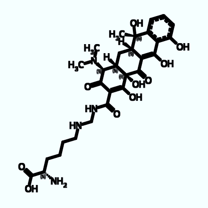 CN(C)[C@@H]1C(=O)C(C(=O)NCNCCCC[C@H](N)C(=O)O)=C(O)[C@@]2(O)C(=O)C3=C(O)c4c(O)cccc4[C@@](C)(O)[C@H]3C[C@@H]12